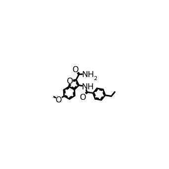 CCc1ccc(C(=O)Nc2c(C(N)=O)oc3cc(OC)ccc23)cc1